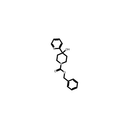 O=C(OCc1ccccc1)N1CCC(O)(c2ccccn2)CC1